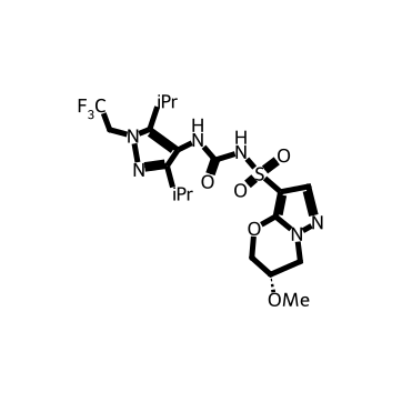 CO[C@@H]1COc2c(S(=O)(=O)NC(=O)Nc3c(C(C)C)nn(CC(F)(F)F)c3C(C)C)cnn2C1